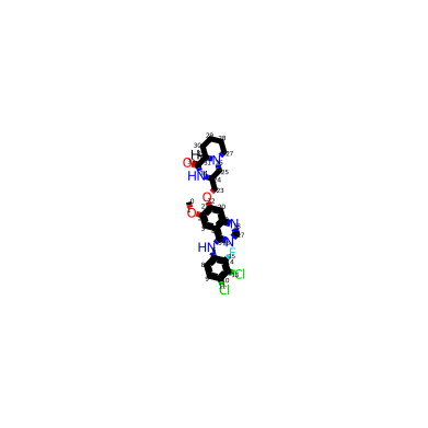 COc1cc2c(Nc3ccc(Cl)c(Cl)c3F)ncnc2cc1OCC1CN2CCCC[C@@H]2C(=O)N1